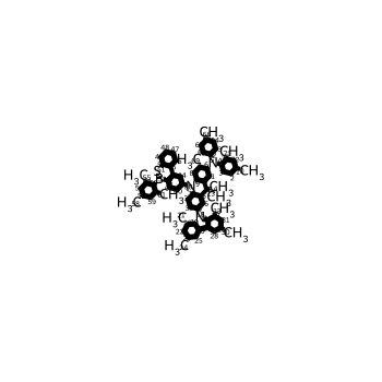 Cc1ccc(N(c2ccc3c(c2)C(C)(C)c2cc(-n4c5c(C)cc(C)cc5c5cc(C)cc(C)c54)ccc2N3c2ccc3c(c2)-c2ccccc2SB3c2c(C)cc(C)cc2C)c2ccc(C)cc2C)c(C)c1